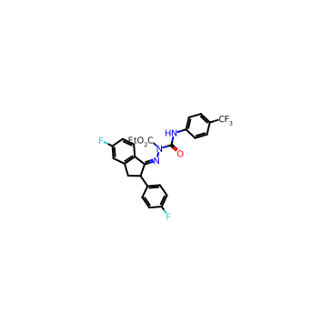 CCOC(=O)N(N=C1c2ccc(F)cc2CC1c1ccc(F)cc1)C(=O)Nc1ccc(C(F)(F)F)cc1